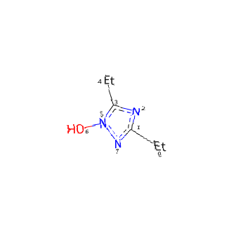 CCc1nc(CC)n(O)n1